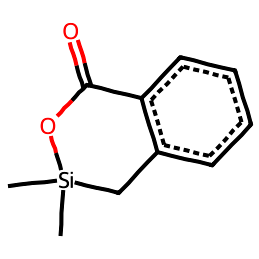 C[Si]1(C)Cc2ccccc2C(=O)O1